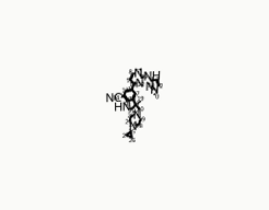 Cn1ccc(Nc2nccc(-c3cc(C#N)c4c(c3)[C@](C)(CN3CCN(C5CC5)CC3)CN4)n2)n1